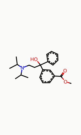 COC(=O)c1cccc(C(O)(CCN(C(C)C)C(C)C)c2ccccc2)c1